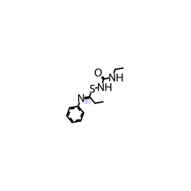 CCNC(=O)NS/C(CC)=N/c1ccccc1